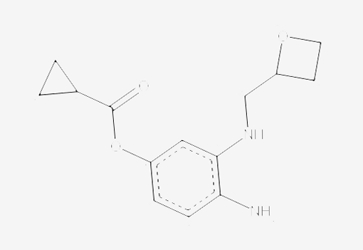 Nc1ccc(OC(=O)C2CC2)cc1NCC1CCO1